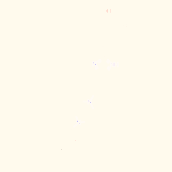 COc1cc(-c2nc3cc(N4CCN(C(=O)c5ccccc5C(F)(F)F)CC4)ccc3[nH]2)cc(O)c1O